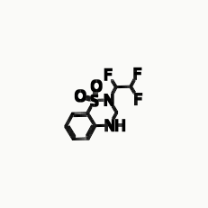 O=S1(=O)c2ccccc2NCN1C(F)C(F)F